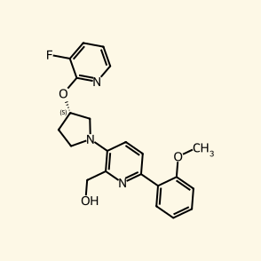 COc1ccccc1-c1ccc(N2CC[C@H](Oc3ncccc3F)C2)c(CO)n1